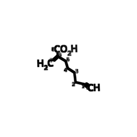 C#CCCCCC(=C)C(=O)O